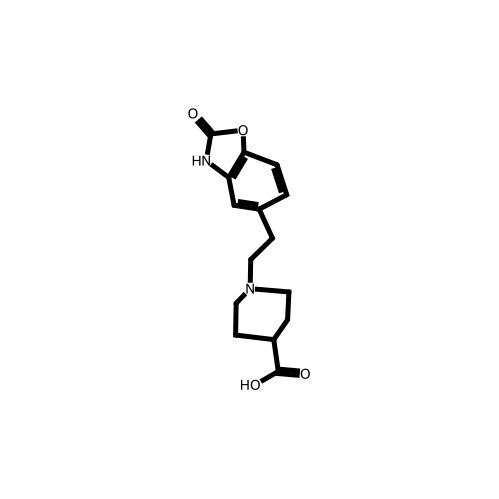 O=C(O)C1CCN(CCc2ccc3oc(=O)[nH]c3c2)CC1